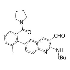 Cc1cccc(C(=O)N2CCCC2)c1-c1ccc2nc(NC(C)(C)C)c(C=O)cc2c1